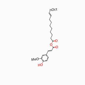 CCCCCCCCC=CCCCCCCCC(=O)OC(=O)C=Cc1ccc(O)c(OC)c1